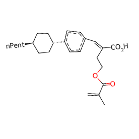 C=C(C)C(=O)OCCC(=Cc1ccc([C@H]2CC[C@H](CCCCC)CC2)cc1)C(=O)O